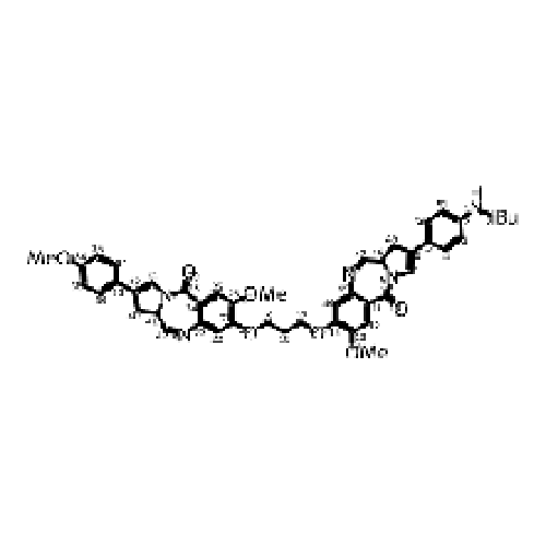 CCC(C)Nc1ccc(C2=CN3C(=O)c4cc(OC)c(OCCCOc5cc6c(cc5OC)C(=O)N5C=C(c7ccc(OC)cc7)CC5C=N6)cc4N=CC3C2)cc1